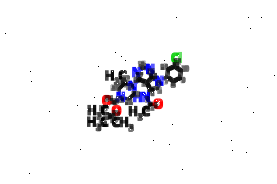 CC(=O)Nc1cn(-c2cccc(Cl)c2)c2ncnc(N3CCN(C(=O)OC(C)(C)C)C[C@@H]3C)c12